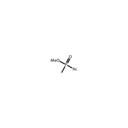 COP(C)(=O)C(C)=O